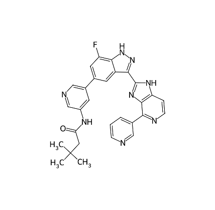 CC(C)(C)CC(=O)Nc1cncc(-c2cc(F)c3[nH]nc(-c4nc5c(-c6cccnc6)nccc5[nH]4)c3c2)c1